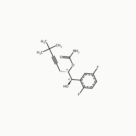 CC(C)(C)C#CC[C@H](OC(N)=O)[C@H](O)c1cc(F)ccc1F